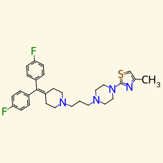 Cc1csc(N2CCN(CCCN3CCC(=C(c4ccc(F)cc4)c4ccc(F)cc4)CC3)CC2)n1